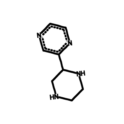 c1cnc(C2CNCCN2)cn1